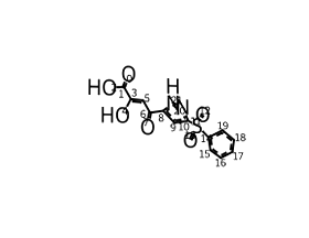 O=C(O)C(O)=CC(=O)c1cc(S(=O)(=O)c2ccccc2)n[nH]1